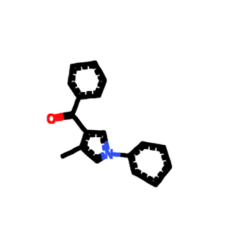 Cc1cn(-c2ccccc2)cc1C(=O)c1ccccc1